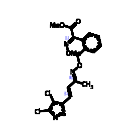 CO/N=C(/C(=O)OC)c1ccccc1CO/N=C(C)/C=C/c1snc(Cl)c1Cl